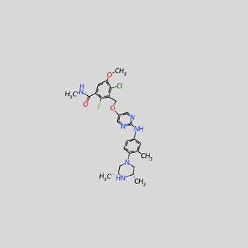 CNC(=O)c1cc(OC)c(Cl)c(COc2cnc(Nc3ccc(N4C[C@@H](C)N[C@@H](C)C4)c(C)c3)nc2)c1F